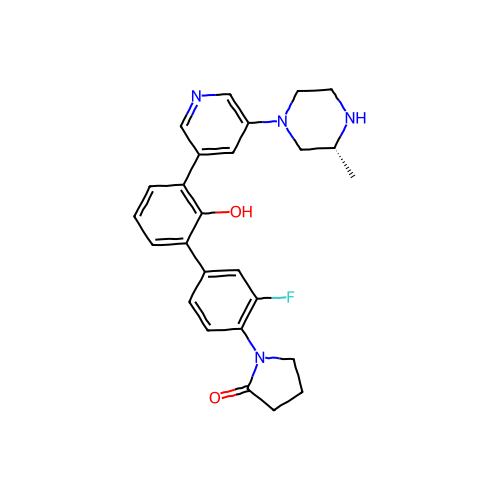 C[C@@H]1CN(c2cncc(-c3cccc(-c4ccc(N5CCCC5=O)c(F)c4)c3O)c2)CCN1